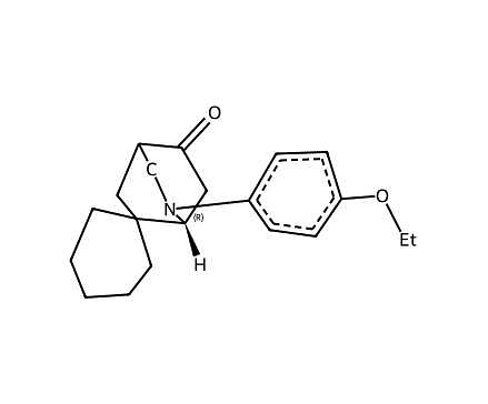 CCOc1ccc(N2CC3CC4(CCCCC4)[C@H]2CC3=O)cc1